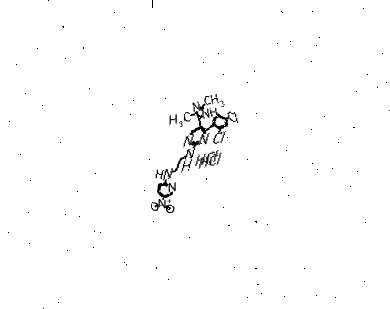 Cc1nc(C)c(-c2cnc(NCCNc3ccc([N+](=O)[O-])cn3)nc2-c2ccc(Cl)cc2Cl)[nH]1.Cl.Cl